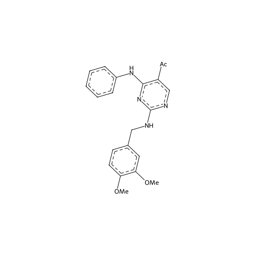 COc1ccc(CNc2ncc(C(C)=O)c(Nc3ccccc3)n2)cc1OC